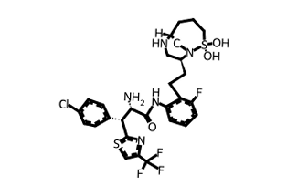 N[C@H](C(=O)Nc1cccc(F)c1CC[C@H]1CN[C@@H]2CCCS(O)(O)N1C2)[C@@H](c1ccc(Cl)cc1)c1nc(C(F)(F)F)cs1